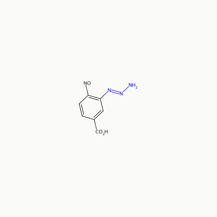 NN=Nc1cc(C(=O)O)ccc1N=O